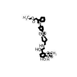 CCOC(=O)Cc1cn(-c2ccc(S(=O)(=O)N3CCC(CNC[C@@H](O)c4ccc(O)c(NS(C)(=O)=O)c4)CC3)cc2)c2ccccc12